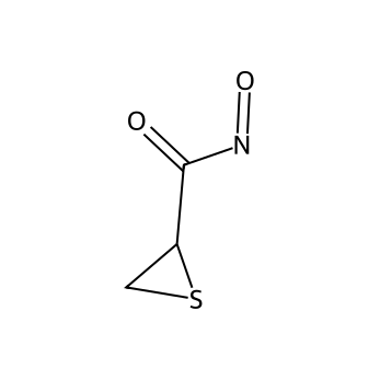 O=NC(=O)C1CS1